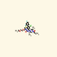 C=CC(=O)N1C[C@H](C)N(c2nc(=O)n3c4c(c(-c5ccc(F)cc5F)c(Cl)cc24)SC[C@@H]3COCCOC)C[C@H]1C